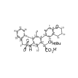 Cc1c(C)c(-c2ccc3c(c2)CCCO3)c(C(OC(C)(C)C)C(=O)O)c(C)c1NS(=O)(=O)Cc1ccccc1